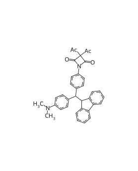 CC(=O)C1(C(C)=O)C(=O)N(c2ccc(C(c3ccc(N(C)C)cc3)C3c4ccccc4-c4ccccc43)cc2)C1=O